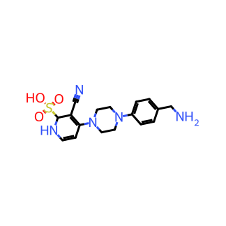 N#CC1=C(N2CCN(c3ccc(CN)cc3)CC2)C=CNC1S(=O)(=O)O